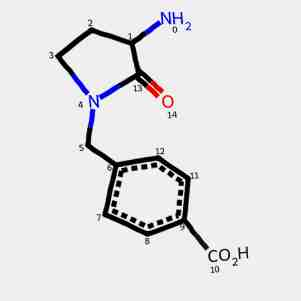 NC1CCN(Cc2ccc(C(=O)O)cc2)C1=O